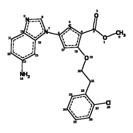 COC(=O)c1sc(-n2cnc3ccc(N)cc32)cc1OCCc1ccccc1Cl